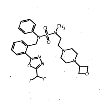 CN(CCN1CCN(C2COC2)CC1)S(=O)(=O)N(Cc1ccccc1-c1nnc(C(F)F)o1)c1ccccc1